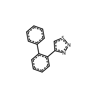 c1ccc(-c2ccccc2-c2csnn2)cc1